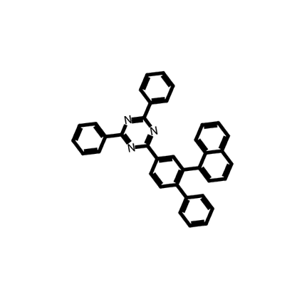 c1ccc(-c2nc(-c3ccccc3)nc(-c3ccc(-c4ccccc4)c(-c4cccc5ccccc45)c3)n2)cc1